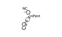 CCCCCC(c1ccc(C#N)c(C)c1)N1CCN(c2ccc3ccccc3n2)CC1